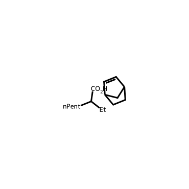 C1=CC2CCC1C2.CCCCCC(CC)C(=O)O